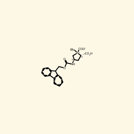 CC(C)(C)[N+]1(C(=O)[O-])C[C@H](NC(=O)OCC2c3ccccc3-c3ccccc32)C[C@H]1C(=O)O